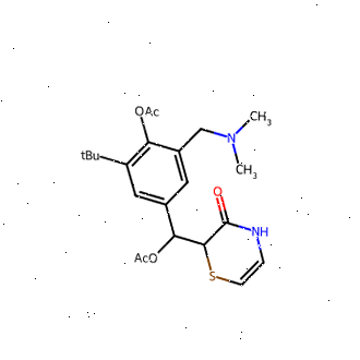 CC(=O)Oc1c(CN(C)C)cc(C(OC(C)=O)C2SC=CNC2=O)cc1C(C)(C)C